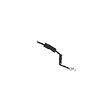 C/C=C/C#CI